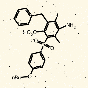 CCCCOc1ccc(S(=O)(=O)c2c(C)c(N)c(C)c(Cc3ccccc3)c2C(=O)O)cc1